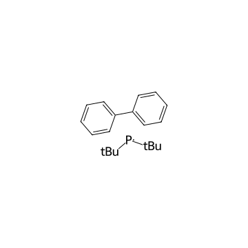 CC(C)(C)[P]C(C)(C)C.c1ccc(-c2ccccc2)cc1